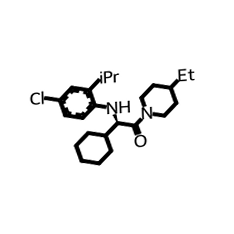 CCC1CCN(C(=O)[C@H](Nc2ccc(Cl)cc2C(C)C)C2CCCCC2)CC1